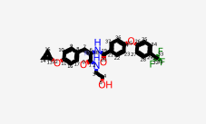 O=C(NCCO)/C(=C\c1ccc(OC2CC2)cc1)NC(=O)c1ccc(Oc2ccc(C(F)(F)F)cc2)cc1